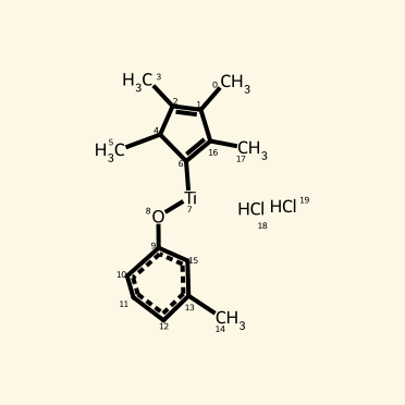 CC1=C(C)C(C)[C]([Ti][O]c2cccc(C)c2)=C1C.Cl.Cl